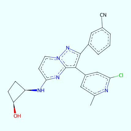 Cc1cc(-c2c(-c3cccc(C#N)c3)nn3ccc(N[C@@H]4CC[C@@H]4O)nc23)cc(Cl)n1